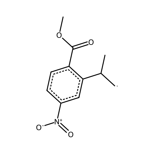 [CH2]C(C)c1cc([N+](=O)[O-])ccc1C(=O)OC